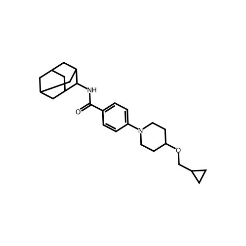 O=C(NC1C2CC3CC(C2)CC1C3)c1ccc(N2CCC(OCC3CC3)CC2)cc1